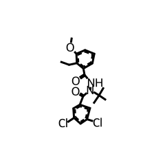 CCc1c(OC)cccc1C(=O)NN(C(=O)c1cc(Cl)cc(Cl)c1)C(C)(C)C